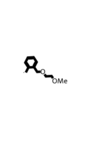 [CH2]c1ccccc1COCCOC